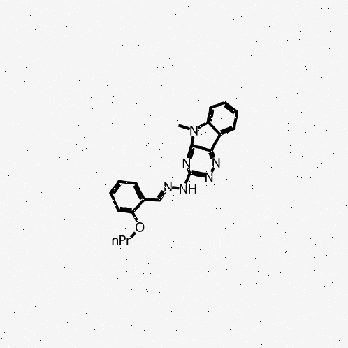 CCCOc1ccccc1C=NNc1nnc2c3ccccc3n(C)c2n1